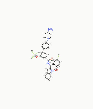 NC1CCN(c2ccc(-c3cc(OC(F)(F)F)cc(C(=O)N[C@@H](c4cc5ccccc5[nH]4)c4cc(F)ccc4O)c3)cc2)CC1